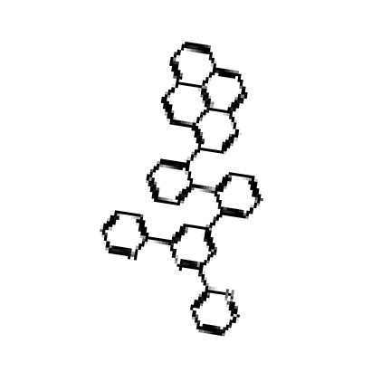 c1ccc(-c2cc(-c3ccccc3-c3ccccc3-c3ccc4ccc5cccc6ccc3c4c56)cc(-c3ccccn3)n2)nc1